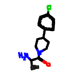 CC(C)(C)C(N)C(=O)N1CCC(c2ccc(Cl)cc2)CC1